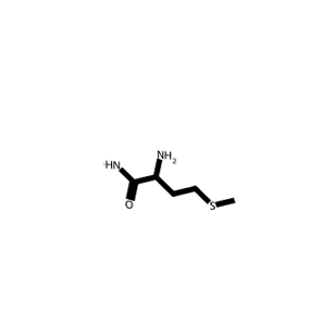 CSCCC(N)C([NH])=O